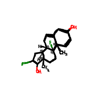 C[C@]12C=CC(O)=CC1=CC[C@H]1[C@@H]3CC(F)C(O)[C@@]3(C)CC[C@]12F